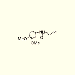 COc1ccc(NC(=O)CCC(C)C)cc1OC